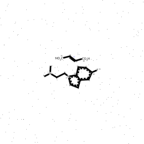 CN(C)CCn1ccc2cc(F)ccc21.O=C(O)/C=C/C(=O)O